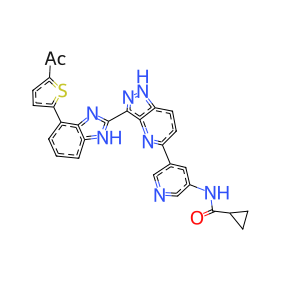 CC(=O)c1ccc(-c2cccc3[nH]c(-c4n[nH]c5ccc(-c6cncc(NC(=O)C7CC7)c6)nc45)nc23)s1